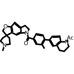 CC(=O)N1CCCc2cc(-c3ccc(C(=O)N4CCc5cc6c(cc54)C4(CCN(C)CC4)CO6)cc3C)ccc21